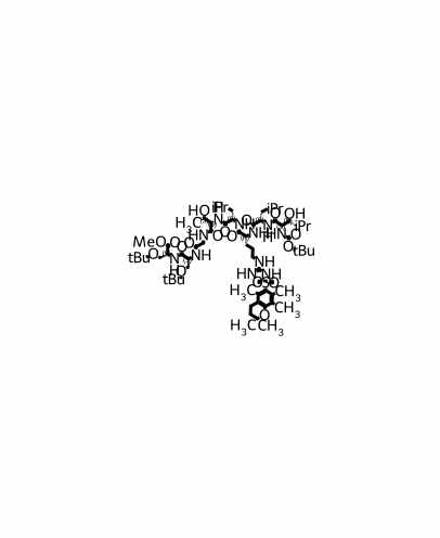 COC(=O)[C@H](COC(C)(C)C)NC(=O)[C@H](COC(C)(C)C)NC(=O)CNC(=O)[C@@H](NC(=O)[C@H](CC(C)C)NC(=O)[C@@H](CCCNC(=N)NS(=O)(=O)c1c(C)c(C)c2c(c1C)CCC(C)(C)O2)NC(=O)[C@H](CC(C)C)NC(=O)[C@@H](NC(=O)OC(C)(C)C)[C@H](O)C(C)C)[C@H](C)O